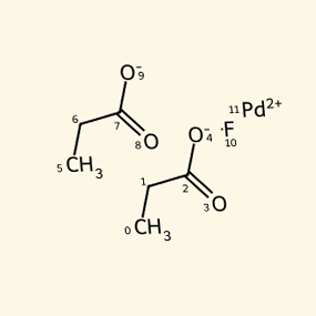 CCC(=O)[O-].CCC(=O)[O-].[F].[Pd+2]